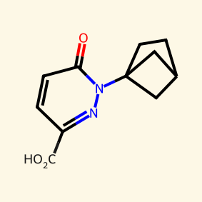 O=C(O)c1ccc(=O)n(C23CCC(C2)C3)n1